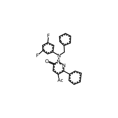 CC(=O)c1cc(=O)n(N(Cc2ccccc2)c2cc(F)cc(F)c2)nc1-c1ccccc1